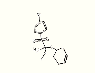 CC(SF)(SC1CC=CCC1)S(=O)(=O)c1ccc(Br)cc1